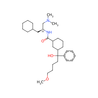 COCCCCC(O)(c1ccccc1)C1CCCC(C(=O)N[C@@H](CC2CCCCC2)CN(C)C)C1